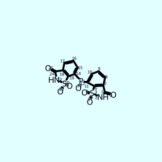 O=C1NS(=O)(=O)c2c1cccc2[P](=O)c1cccc2c1S(=O)(=O)NC2=O